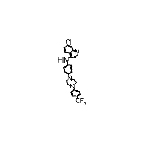 FC(F)(F)c1ccc(N2CCN(c3ccc(Nc4ccnc5cc(Cl)ccc45)cc3)CC2)cc1